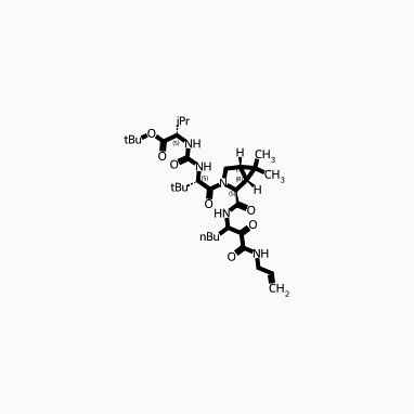 C=CCNC(=O)C(=O)C(CCCC)NC(=O)[C@@H]1[C@@H]2[C@H](CN1C(=O)[C@@H](NC(=O)N[C@H](C(=O)OC(C)(C)C)C(C)C)C(C)(C)C)C2(C)C